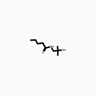 CCCCC(=O)NCC(C)(C)O